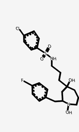 O=S(=O)(NCCCC1(O)CCCN(O)C(Cc2ccc(F)cc2)C1)c1ccc(Cl)cc1